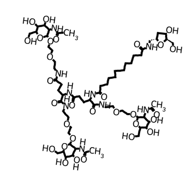 CC(=O)NC1C(OCCOCCNC(=O)CCC(NC(=O)CCC(NC(=O)CCCCCCCCCCC(=O)NC[C@@H]2C[C@H](O)[C@@H](CO)O2)C(=O)NCCOCCOC2OC(CO)C(O)C(O)C2NC(C)=O)C(=O)NCCOCCOC2OC(CO)C(O)C(O)C2NC(C)=O)OC(CO)C(O)C1O